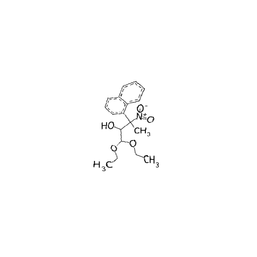 CCOC(OCC)C(O)C(C)(c1cccc2ccccc12)[N+](=O)[O-]